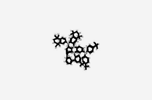 CC(C)(C)c1ccc(N(c2ccc(C(C)(C)C)cc2)c2ccc3c(c2)-n2c4cc(cc5c4B3c3cc4c(cc3N5c3ccc5c(c3)C(C)(C)CCC5(C)C)C(C)(C)CCC4(C)C)c3cccc(c3)c3cc(C(C)(C)C)ccc32)cc1